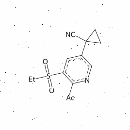 CCS(=O)(=O)c1cc(C2(C#N)CC2)cnc1C(C)=O